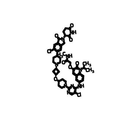 CNC(=O)COc1cc2cc(Nc3nc(N4CCC(O[C@H]5C[C@H](N6CCC(c7cc8c(cc7Cl)C(=O)N(C7CCC(=O)NC7=O)C8)CC6)C5)CC4)ncc3Cl)ccc2n(C(C)C)c1=O